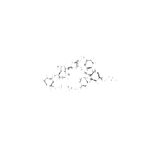 COc1ccc(C(OC[C@H]2O[C@@H](n3cnc4c(Sc5cccc(O)c5)ncnc43)C[C@@H]2O)(c2ccccc2)c2ccc(OC)cc2)cc1